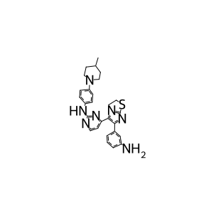 CC1CCN(c2ccc(Nc3nccc(-c4c(-c5cccc(N)c5)nc5n4CCS5)n3)cc2)CC1